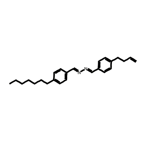 C=CCCc1ccc(/C=N/N=C/c2ccc(CCCCCCC)cc2)cc1